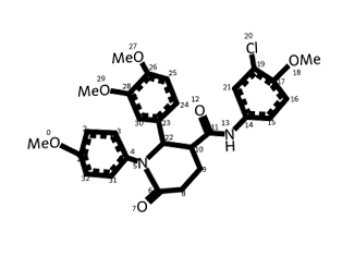 COc1ccc(N2C(=O)CCC(C(=O)Nc3ccc(OC)c(Cl)c3)C2c2ccc(OC)c(OC)c2)cc1